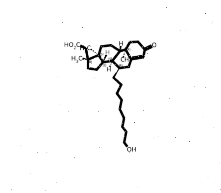 C[C@]1(CC(=O)O)CC[C@H]2[C@@H]3[C@H](CCCCCCCCCO)CC4=CC(=O)CC[C@]4(C)[C@H]3CC[C@@]21C